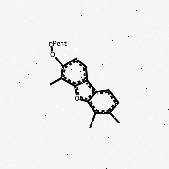 CCCCCOc1ccc2c(oc3c(C)c(C)ccc32)c1C